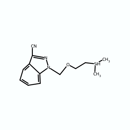 C[SiH](C)CCOCn1nc(C#N)c2ccccc21